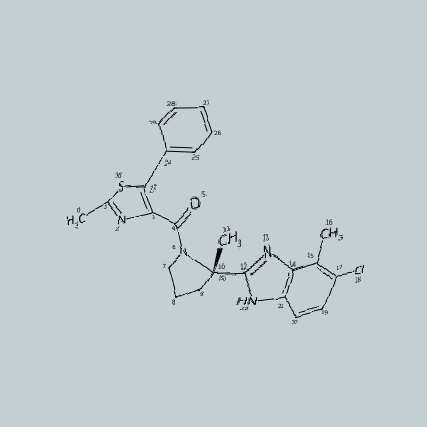 Cc1nc(C(=O)N2CCC[C@@]2(C)c2nc3c(C)c(Cl)ccc3[nH]2)c(-c2ccccc2)s1